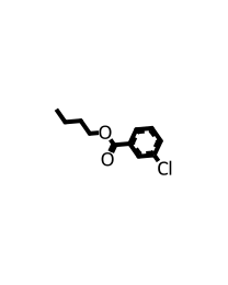 CCCCOC(=O)c1cccc(Cl)c1